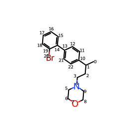 CC(CCN1CCOCC1)c1ccc(-c2ccccc2Br)cc1